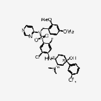 COc1ccc(CN(c2ccncn2)S(=O)(=O)c2cc(Cl)c(N[C@H]3CC[C@](O)(c4cccc(C(F)(F)F)c4)C[C@@H]3N(C)C)cc2F)c(OC)c1